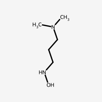 CN(C)CCCNO